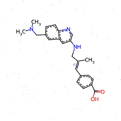 C/C(=C\c1ccc(C(=O)O)cc1)CNc1cnc2ccc(CN(C)C)cc2c1